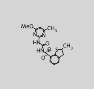 COc1cc(C)nc(NC(=O)NS(=O)(=O)c2cccc3c2SC(C)C3)n1